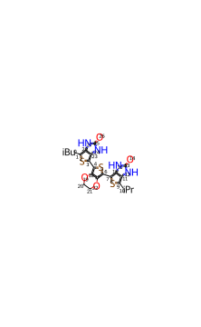 CCC(C)c1sc(-c2sc(-c3sc(C(C)C)c4[nH]c(=O)[nH]c34)c3c2OCCO3)c2[nH]c(=O)[nH]c12